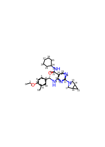 CCOc1ccc(CNc2nc(N3CC4CC4C3)ncc2C(=O)NC2CCCCC2)cc1C